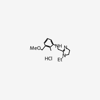 CCN1CCN=C1CNc1cccc(COC)c1C.Cl